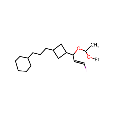 CCOC(C)OC(C=CI)C1CC(CCCC2CCCCC2)C1